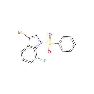 O=S(=O)(c1ccccc1)n1cc(Br)c2cccc(F)c21